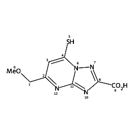 COCc1cc(S)n2nc(C(=O)O)nc2n1